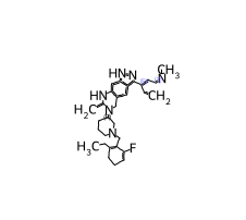 C=C/C(=C\C=N/C)c1n[nH]c2cc3c(cc12)CN([C@@H]1CCCN(CC2=C(CC)CCC=C2F)C1)C(=C)N3